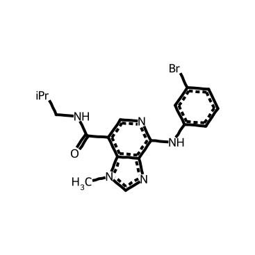 CC(C)CNC(=O)c1cnc(Nc2cccc(Br)c2)c2ncn(C)c12